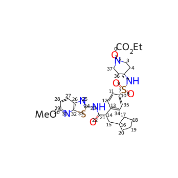 CCOC(=O)ON1CCC(NS(=O)(=O)c2ccc(C(CC3CCCC3)C(=O)Nc3nc4ccc(OC)nc4s3)cc2)CC1